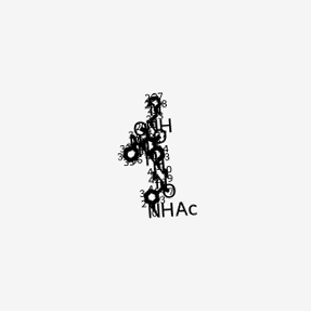 CC(=O)Nc1cccc(C(=O)N2CCN(c3ccc4c(=O)c(C(=O)NCCN5CCCC5)c5n(C)c6ccccc6n5c4n3)CC2)c1